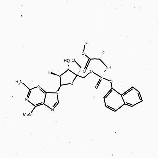 CNc1nc(N)nc2c1ncn2[C@@H]1O[C@](CCl)(CO[P@@](=O)(N[C@@H](C)C(=O)OC(C)C)Oc2cccc3ccccc23)[C@@H](O)[C@@H]1F